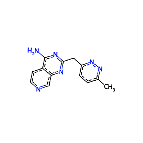 Cc1ccc(Cc2nc(N)c3ccncc3n2)nn1